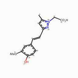 COc1cc(C=Cc2cc(C)n(CC(=O)O)n2)ccc1O